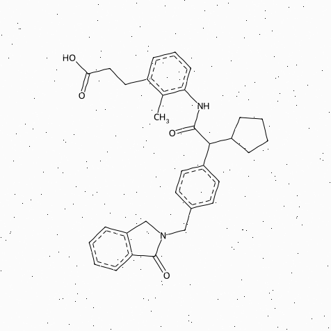 Cc1c(CCC(=O)O)cccc1NC(=O)C(c1ccc(CN2Cc3ccccc3C2=O)cc1)C1CCCC1